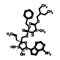 C=NC[C@]1(COP(=O)(N[C@@H](C)C(=O)OCC(CC)CC)OCc2ccccc2)O[C@@H](c2ccc3c(N)ncnn23)[C@H](O)[C@@H]1O